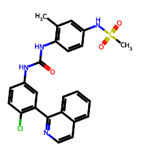 Cc1cc(NS(C)(=O)=O)ccc1NC(=O)Nc1ccc(Cl)c(-c2nccc3ccccc23)c1